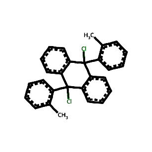 Cc1ccccc1C1(Cl)c2ccccc2C(Cl)(c2ccccc2C)c2ccccc21